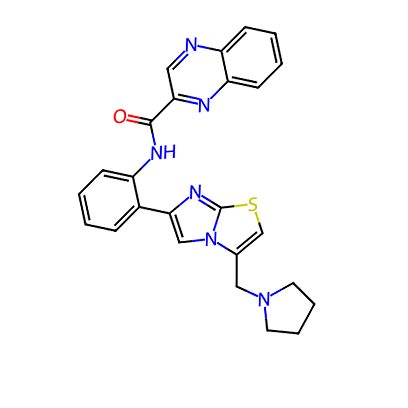 O=C(Nc1ccccc1-c1cn2c(CN3CCCC3)csc2n1)c1cnc2ccccc2n1